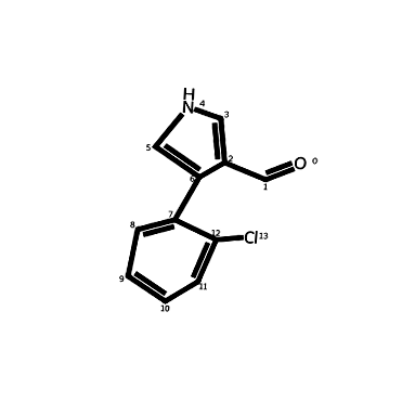 O=Cc1c[nH]cc1-c1ccccc1Cl